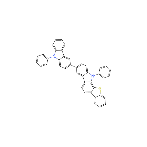 c1ccc(-n2c3ccccc3c3cc(-c4ccc5c(c4)c4ccc6c7ccccc7sc6c4n5-c4ccccc4)ccc32)cc1